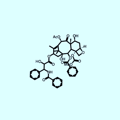 COC(=O)O[C@@]12CO[C@@H]1C[C@H](O)[C@@]1(C)C(=O)[C@H](OC(C)=O)C3=C(C)C(OC(=O)C(O)C(NC(=O)c4ccccc4)c4ccccc4)C[C@@](O)(C(OC(=O)c4ccccc4)C12)C3(C)C